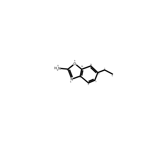 CCc1ccc2nc(N)oc2c1